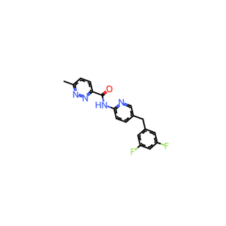 Cc1ccc(C(=O)Nc2ccc(Cc3cc(F)cc(F)c3)cn2)nn1